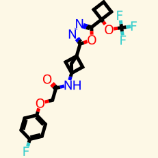 O=C(COc1ccc(F)cc1)NC12CC(c3nnc(C4(OC(F)(F)F)CCC4)o3)(C1)C2